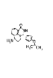 CC(C)Oc1ccc([C@H]2NC(=O)c3cccc4c3N2CC[C@@H]4N)cc1